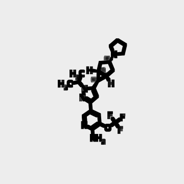 CC(C)n1nc(-c2cnc(N)c(OC(F)(F)F)c2)cc1[C@H]1[C@@H]2C[C@H](N3CCCC3)C[C@@H]21